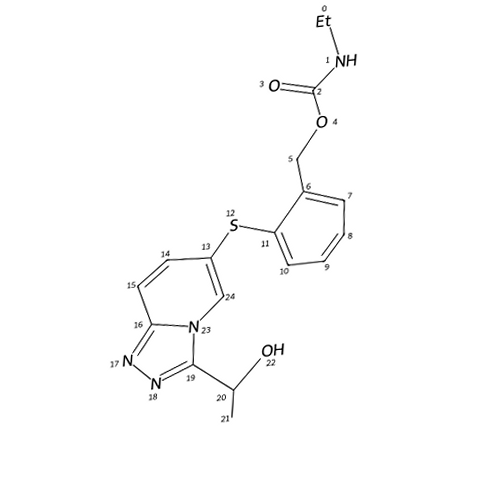 CCNC(=O)OCc1ccccc1Sc1ccc2nnc(C(C)O)n2c1